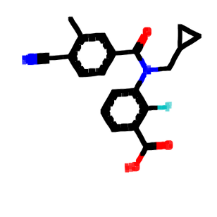 Cc1cc(C(=O)N(CC2CC2)c2cccc(C(=O)O)c2F)ccc1C#N